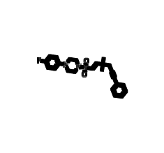 CC(C)(C=CS(=O)(=O)N1CCN(c2ccc(F)cc2)CC1)CC#Cc1ccccc1